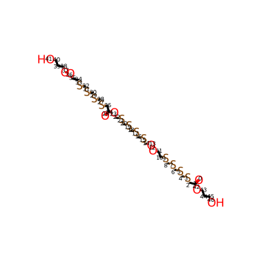 O=C(CSCSCSCSCCOOCSCSCSCSCOC(=O)CSCSCSCSCCOOCCCO)OCCCO